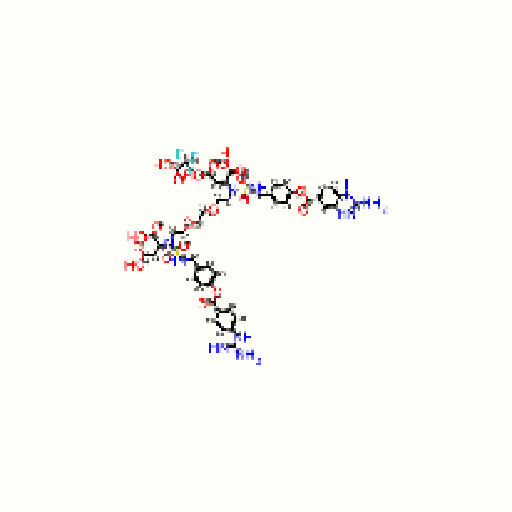 N=C(N)Nc1ccc(C(=O)Oc2ccc(CNS(=O)(=O)N(CCOCCOCCN([C@@H](CC(=O)O)C(=O)O)S(=O)(=O)NCc3ccc(OC(=O)c4ccc(NC(=N)N)cc4)cc3)[C@@H](CC(=O)O)C(=O)O)cc2)cc1.O=C(O)C(F)(F)F